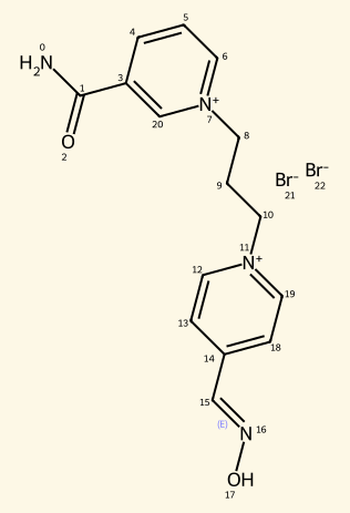 NC(=O)c1ccc[n+](CCC[n+]2ccc(/C=N/O)cc2)c1.[Br-].[Br-]